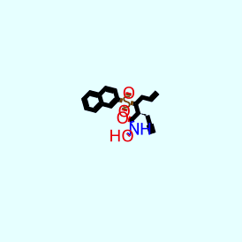 C#CC[C@H](C(=O)NO)C(CC=C)S(=O)(=O)c1ccc2ccccc2c1